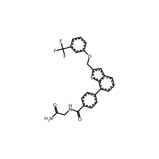 NC(=O)CNC(=O)c1ccc(-c2cccc3cc(COc4cccc(C(F)(F)F)c4)sc23)cc1